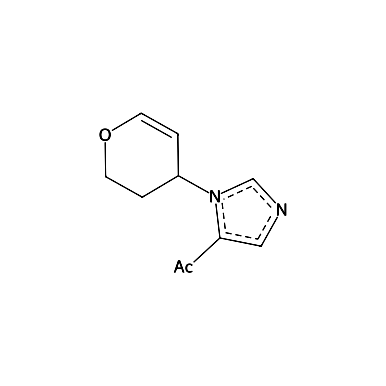 CC(=O)c1cncn1C1C=COCC1